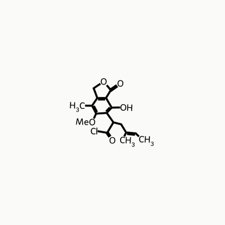 C/C=C(\C)CC(C(=O)Cl)c1c(O)c2c(c(C)c1OC)COC2=O